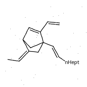 C=CC1=CC2CC1(C=CCCCCCCC)CC2=CC